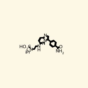 CC(C)N(CCNc1ccc2ncc(-c3ccc(C(N)=O)cc3)n2n1)C(=O)O